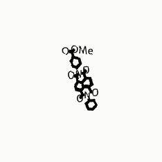 COC(=O)C1CCC(N2C(=O)c3ccc4c5c(ccc(c35)C2=O)C(=O)N(C2CCCCC2)C4=O)CC1